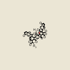 C=C1C(C)C(C2C(=O)OC(=O)C2C2C(=O)N(CN3C(=O)C(C4C(=O)OC(=O)C4C)C(C4C(=O)N(CN5C(=O)C=CC5=O)C(=O)C4C)C3=O)C(=O)C2C)C(=O)N1CN1C(=O)C=CC1=O